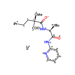 CO[C@](CCC(C)C)(C(=O)[O-])C(=O)N[C@H](C(=O)Nc1ccccn1)C(C)(C)C.[Li+]